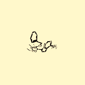 CC[C@H]1OC(c2ccc3c(N)ncnn23)[C@](C)(OCc2ccccc2)[C@@H]1C